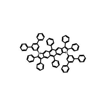 c1ccc(-c2cc(-c3ccccc3)cc(-n3c(-c4ccccc4)c(-c4ccccc4)c4cc5c(-c6ccccc6)c6cc7c(cc6c(-c6ccccc6)c5cc43)c(-c3ccccc3)c(-c3ccccc3)n7-c3cc(-c4ccccc4)cc(-c4ccccc4)c3)c2)cc1